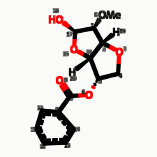 CO[C@H]1[C@@H]2OC[C@H](OC(=O)c3ccccc3)[C@@H]2O[C@H]1O